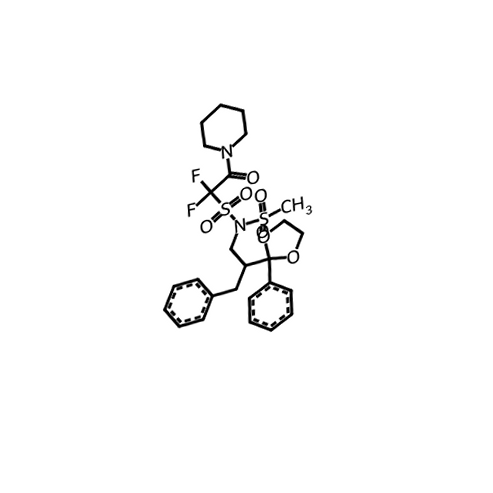 CS(=O)(=O)N(CC(Cc1ccccc1)C1(c2ccccc2)OCCO1)S(=O)(=O)C(F)(F)C(=O)N1CCCCC1